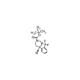 CC(C)(C)OC(=O)N1CCC(C#N)(c2ccccc2C(F)(F)F)CC1